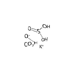 O=C([O-])O.O=S(O)O.[K+]